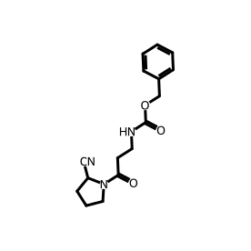 N#CC1CCCN1C(=O)CCNC(=O)OCc1ccccc1